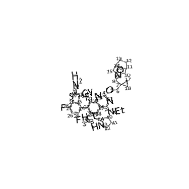 CCN(c1nc(OCC2(CN3CC4CCC(C3)O4)CC2)nc2c(F)c(-c3ccc(F)c4sc(N)c(C#N)c34)c(C(F)(F)F)cc12)[C@@H]1CCN[C@@H]1C